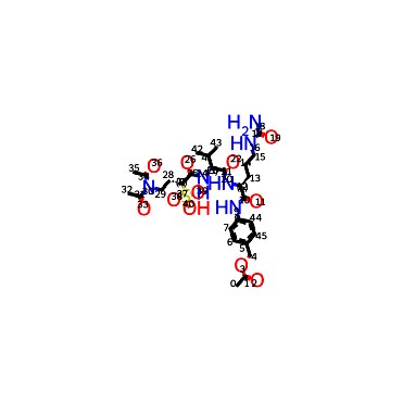 CC(=O)OCc1ccc(NC(=O)[C@H](CCCNC(N)=O)NC(=O)[C@@H](NC(=O)[C@@H](CCN(C(C)=O)C(C)=O)S(=O)(=O)O)C(C)C)cc1